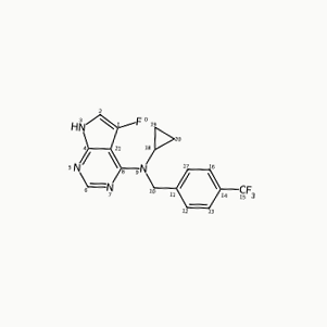 Fc1c[nH]c2ncnc(N(Cc3ccc(C(F)(F)F)cc3)C3CC3)c12